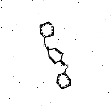 C1=CC(=Nc2ccccc2)C=CC1=Nc1ccccc1